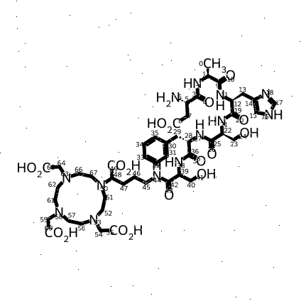 C[C@H](NC(=O)[C@@H](N)CC(=O)O)C(=O)N[C@@H](Cc1c[nH]cn1)C(=O)N[C@@H](CO)C(=O)N[C@@H](Cc1ccccc1)C(=O)NC(CO)C(=O)NCCCC(C(=O)O)N1CCN(CC(=O)O)CCN(CC(=O)O)CCN(CC(=O)O)CC1